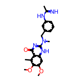 COc1cc2[nH]c(N(C)Cc3cccc(NC(C)=N)c3)nc(=O)c2c(C)c1OC